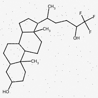 CC(CCC(O)C(F)(F)F)C1CCC2C3CCC4CC(O)CCC4(C)C3CCC12C